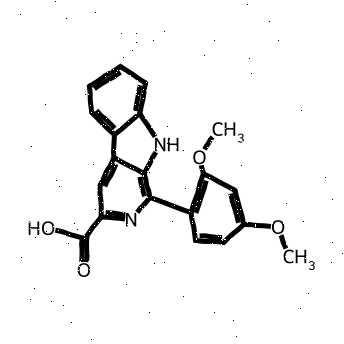 COc1ccc(-c2nc(C(=O)O)cc3c2[nH]c2ccccc23)c(OC)c1